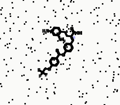 Nc1ccc(CC/C(=C\c2ccc(OC(=O)c3ccc(OCC(F)(F)F)cc3)cc2)C(=O)O)c(N)c1